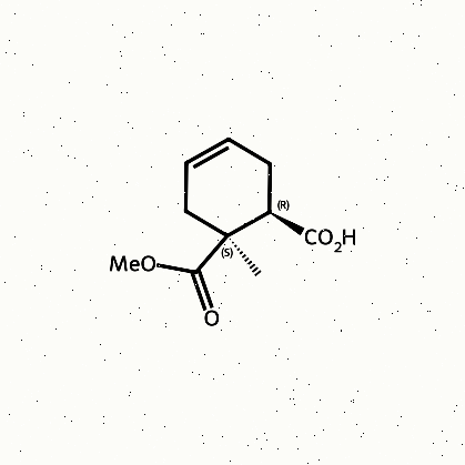 COC(=O)[C@@]1(C)CC=CC[C@H]1C(=O)O